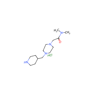 CN(C)C(=O)CN1CCN(CC2CCNCC2)CC1.Cl